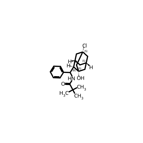 CC(C)(C)C(=O)NC(c1ccccc1)[C@H]1[C@H]2C[C@@H]3C[C@](Cl)(C2)C[C@@]1(O)C3